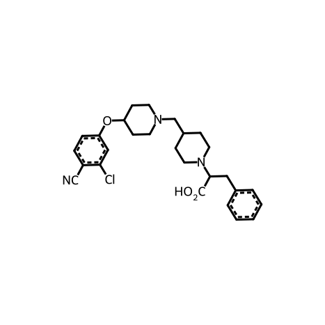 N#Cc1ccc(OC2CCN(CC3CCN(C(Cc4ccccc4)C(=O)O)CC3)CC2)cc1Cl